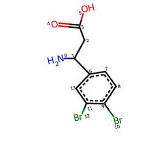 NC(CC(=O)O)c1ccc(Br)c(Br)c1